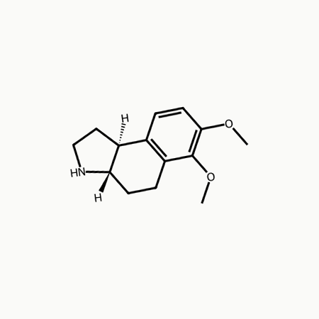 COc1ccc2c(c1OC)CC[C@@H]1NCC[C@@H]21